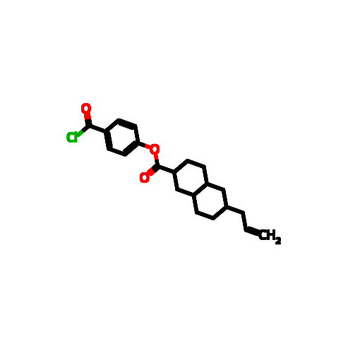 C=CCC1CCC2CC(C(=O)Oc3ccc(C(=O)Cl)cc3)CCC2C1